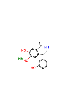 Br.C[C@H]1NCCc2cc(O)c(O)cc21.Oc1ccccc1